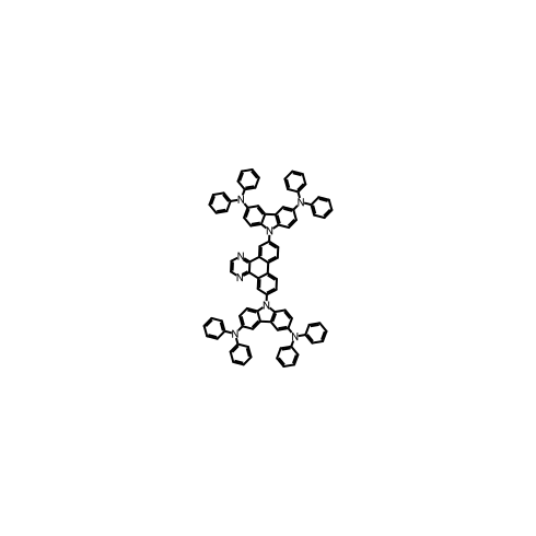 c1ccc(N(c2ccccc2)c2ccc3c(c2)c2cc(N(c4ccccc4)c4ccccc4)ccc2n3-c2ccc3c4ccc(-n5c6ccc(N(c7ccccc7)c7ccccc7)cc6c6cc(N(c7ccccc7)c7ccccc7)ccc65)cc4c4nccnc4c3c2)cc1